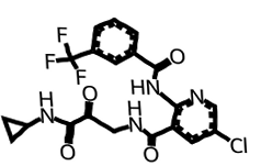 O=C(CNC(=O)c1cc(Cl)cnc1NC(=O)c1cccc(C(F)(F)F)c1)C(=O)NC1CC1